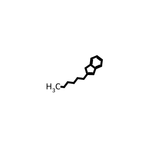 CCCCCCC1=Cc2ccccc2C1